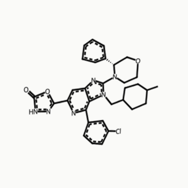 CC1CCC(Cn2c(N3CCOC[C@H]3c3ccccc3)nc3cc(-c4n[nH]c(=O)o4)nc(-c4cccc(Cl)c4)c32)CC1